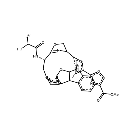 COC(=O)c1coc(-c2nc3oc2[C@@]24c5ccccc5NC2Oc2ccc(cc24)C[C@H](NC(=O)[C@@H](O)C(C)C)C2=NC3CO2)n1